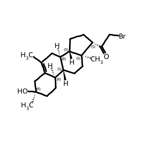 CC1=C2C[C@](C)(O)CC[C@@H]2[C@H]2CC[C@]3(C)[C@@H](C(=O)CBr)CC[C@H]3[C@@H]2C1